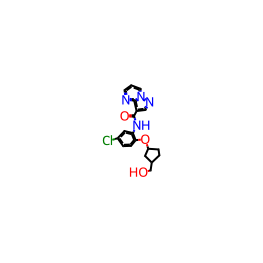 O=C(Nc1cc(Cl)ccc1OC1CCC(CO)C1)c1cnn2cccnc12